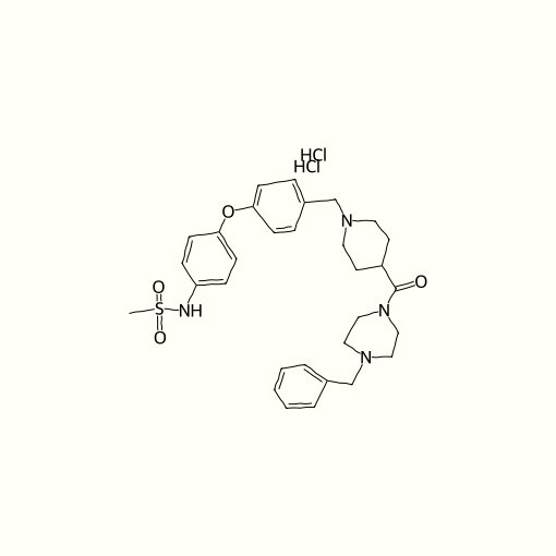 CS(=O)(=O)Nc1ccc(Oc2ccc(CN3CCC(C(=O)N4CCN(Cc5ccccc5)CC4)CC3)cc2)cc1.Cl.Cl